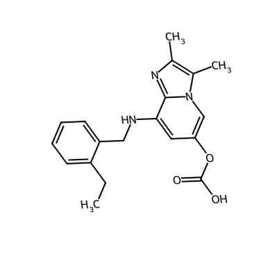 CCc1ccccc1CNc1cc(OC(=O)O)cn2c(C)c(C)nc12